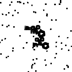 CC(C)COC(=O)Nc1cccc(OC(=O)N(c2ccccc2)C(C)C)c1